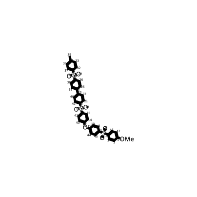 COc1ccc(S(=O)(=O)c2ccc(Oc3ccc(S(=O)(=O)c4ccc(-c5ccc(S(=O)(=O)c6ccc(C)cc6)cc5)cc4)cc3)cc2)cc1